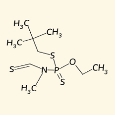 CCOP(=S)(SCC(C)(C)C)N(C)C=S